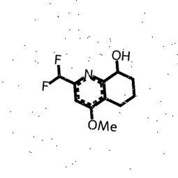 COc1cc(C(F)F)nc2c1CCCC2O